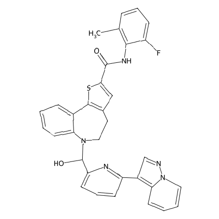 Cc1cccc(F)c1NC(=O)c1cc2c(s1)-c1ccccc1N(C(O)c1cccc(-c3cnn4ccccc34)n1)CC2